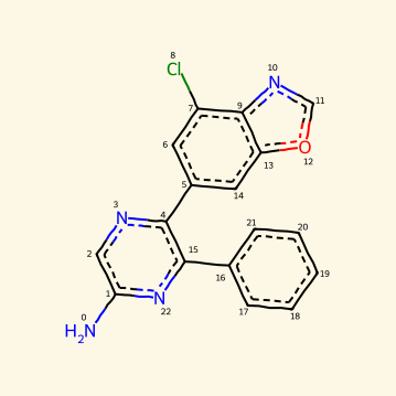 Nc1cnc(-c2cc(Cl)c3ncoc3c2)c(-c2ccccc2)n1